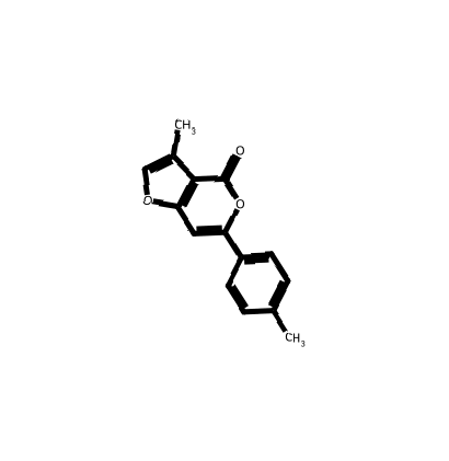 Cc1ccc(-c2cc3occ(C)c3c(=O)o2)cc1